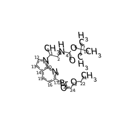 CC(CNC(=O)OC(C)(C)C)n1ccc2ccc(Br)nc21.CCOC=O